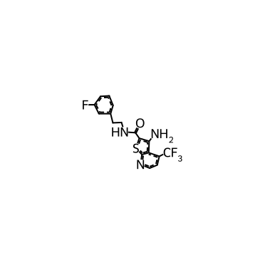 Nc1c(C(=O)NCCc2cccc(F)c2)sc2nccc(C(F)(F)F)c12